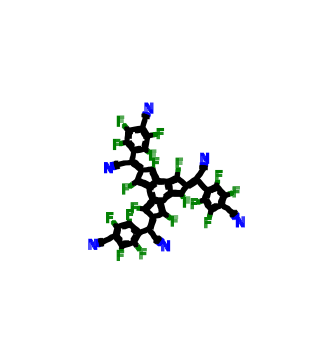 N#CC(=C1C(F)=c2c3c(c4c(c2=C1F)=C(F)C(=C(C#N)c1c(F)c(F)c(C#N)c(F)c1F)C=4F)=C(F)C(=C(C#N)c1c(F)c(F)c(C#N)c(F)c1F)C=3F)c1c(F)c(F)c(C#N)c(F)c1F